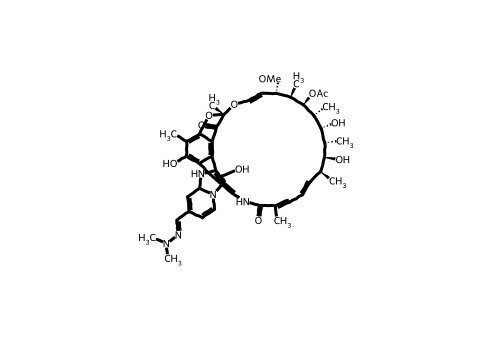 CO[C@H]1/C=C/O[C@@]2(C)Oc3c(C)c(O)c4c(O)c(c5c(c4c3C2=O)NC2C=C(/C=N/N(C)C)C=CN52)NC(=O)/C(C)=C\C=C\[C@H](C)[C@H](O)[C@@H](C)[C@@H](O)[C@@H](C)[C@H](OC(C)=O)[C@@H]1C